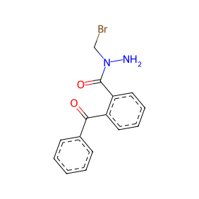 NN(CBr)C(=O)c1ccccc1C(=O)c1ccccc1